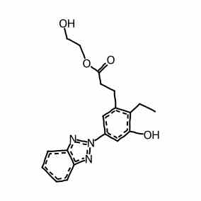 CCc1c(O)cc(-n2nc3ccccc3n2)cc1CCC(=O)OCCO